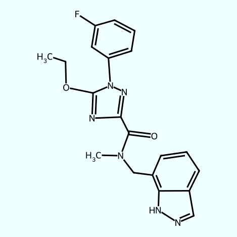 CCOc1nc(C(=O)N(C)Cc2cccc3cn[nH]c23)nn1-c1cccc(F)c1